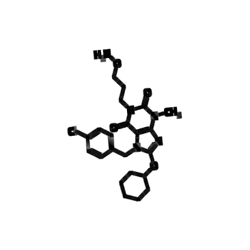 Cn1c(=O)n(CCCON)c(=O)c2c1nc(OC1CCCCC1)n2Cc1ccc(Cl)cc1